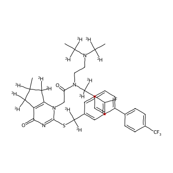 [2H]C([2H])(Sc1nc(=O)c2c(n1CC(=O)N(CCN(C([2H])([2H])C)C([2H])([2H])C)C([2H])([2H])c1ccc(-c3ccc(C(F)(F)F)cc3)cc1)C([2H])([2H])C([2H])(C)C2([2H])[2H])c1ccc(F)cc1